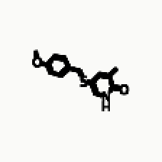 COc1ccc(CSc2c[nH]c(=O)c(C)c2)cc1